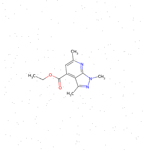 CCOC(=O)c1cc(C)nc2c1c(C)nn2C